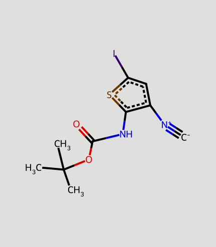 [C-]#[N+]c1cc(I)sc1NC(=O)OC(C)(C)C